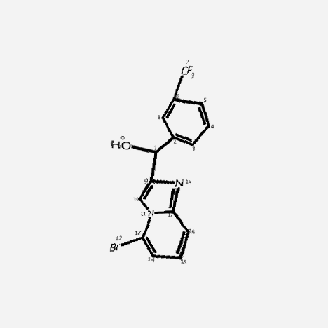 OC(c1cccc(C(F)(F)F)c1)c1cn2c(Br)cccc2n1